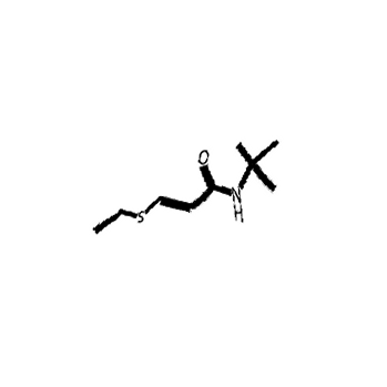 CCS/C=C/C(=O)NC(C)(C)C